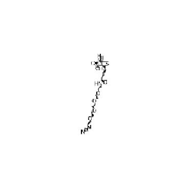 CN1C(=O)N[C@H]2CS[C@@H](CCCCC(=O)NCCOCCOCCOCCOCCN=[N+]=[N-])C21